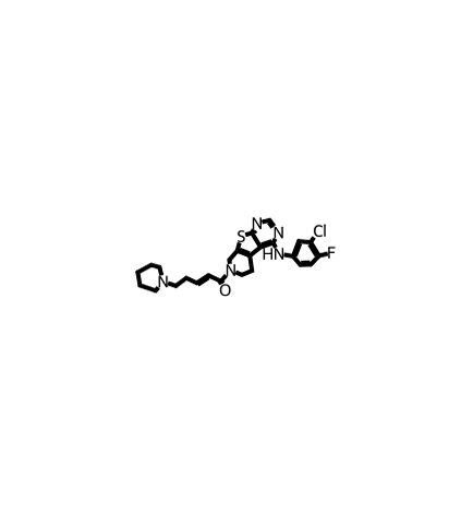 O=C(C=CCCN1CCCCC1)N1CCc2c(sc3ncnc(Nc4ccc(F)c(Cl)c4)c23)C1